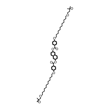 CC1(CCOCCCCCCCCCCCCOc2ccc(C(=O)Oc3ccc4cc(OC(=O)c5ccc(OCCCCCCCCCCCCOCC6(C)CO6)cc5)ccc4c3)cc2)CO1